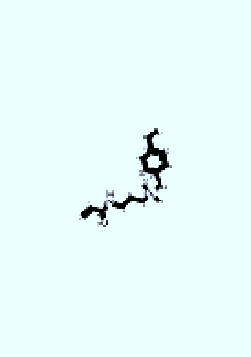 C=CC(=O)NCCC[N+](C)(C)Cc1ccc(CC)cc1